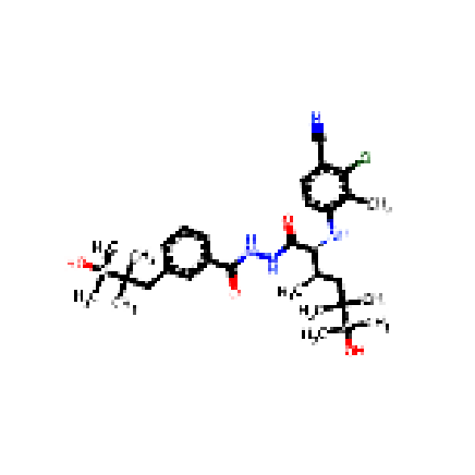 Cc1c(N[C@@H](C(=O)NNC(=O)c2cccc(CC(C)(C)[Si](C)(C)O)c2)[C@H](C)CC(C)(C)[Si](C)(C)O)ccc(C#N)c1Cl